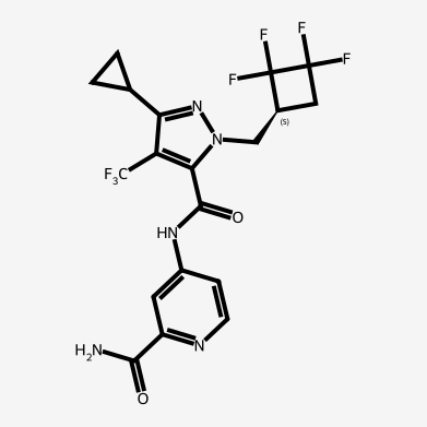 NC(=O)c1cc(NC(=O)c2c(C(F)(F)F)c(C3CC3)nn2C[C@@H]2CC(F)(F)C2(F)F)ccn1